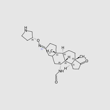 C[C@]12CC/C(=N\O[C@@H]3CCNC3)CC1C[C@@H](NC=O)[C@@H]1[C@@H]2CC[C@]2(C)C(=O)CC[C@@H]12